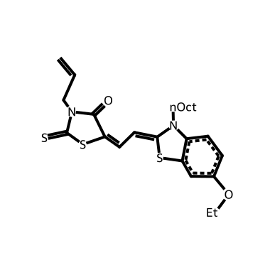 C=CCN1C(=O)/C(=C\C=C2/Sc3cc(OCC)ccc3N2CCCCCCCC)SC1=S